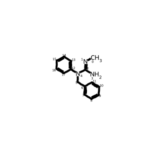 C/N=C(\N)N(Cc1ccccc1)c1ccccc1